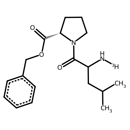 [3H]NC(CC(C)C)C(=O)N1CCC[C@H]1C(=O)OCc1ccccc1